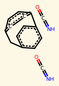 N=C=O.N=C=O.c1cc2ccc1Cc1ccc-2cc1